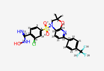 CC1(C)CN(S(=O)(=O)c2ccc(C(=N)NO)c(Cl)c2)c2ccc(-c3ccc(C(F)(F)F)cc3)nc2O1